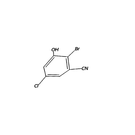 N#Cc1cc(Cl)cc(O)c1Br